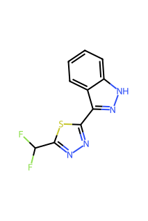 FC(F)c1nnc(-c2n[nH]c3ccccc23)s1